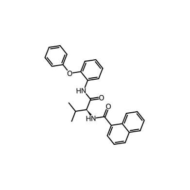 CC(C)[C@H](NC(=O)c1cccc2ccccc12)C(=O)Nc1ccccc1Oc1ccccc1